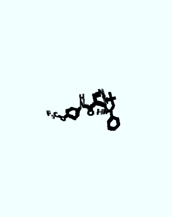 CC1(C)CC(c2ccccc2)Nc2c(C(=O)Nc3ccc(OC(F)(F)F)cc3)cnn21